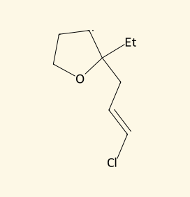 CCC1(CC=CCl)[CH]CCO1